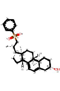 C[C@H](CS(=O)(=O)c1ccccc1)[C@H]1CC[C@H]2C3=CC=C4C[C@@H](O)CC[C@]4(C)[C@H]3CC[C@]12C